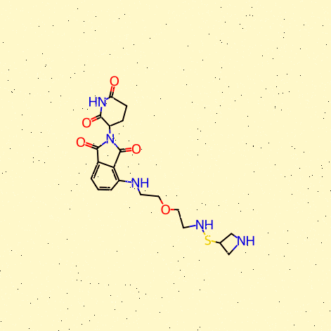 O=C1CCC(N2C(=O)c3cccc(NCCOCCNSC4CNC4)c3C2=O)C(=O)N1